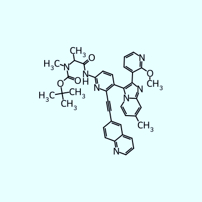 COc1ncccc1-c1nc2cc(C)ccn2c1-c1ccc(NC(=O)C(C)N(C)C(=O)OC(C)(C)C)nc1C#Cc1ccc2ncccc2c1